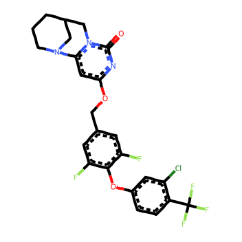 O=c1nc(OCc2cc(F)c(Oc3ccc(C(F)(F)F)c(Cl)c3)c(F)c2)cc2n1CC1CCCN2C1